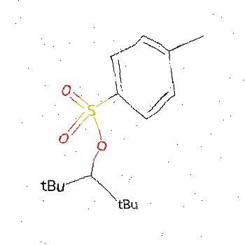 Cc1ccc(S(=O)(=O)OC(C(C)(C)C)C(C)(C)C)cc1